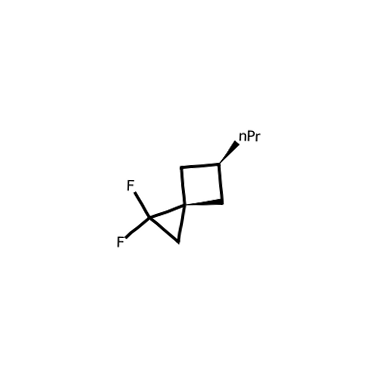 CCC[C@H]1C[C@]2(CC2(F)F)C1